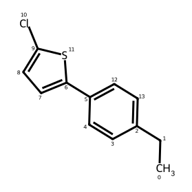 CCc1ccc(-c2ccc(Cl)s2)cc1